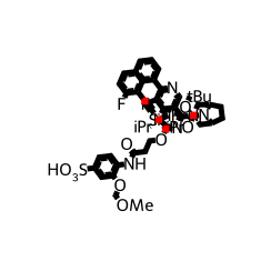 COCOc1cc(S(=O)(=O)O)ccc1NC(=O)CCOc1nc(N2CC3CCC(C2)N3C(=O)OC(C)(C)C)c2cnc(-c3cccc4ccc(F)c(C#C[Si](C(C)C)(C(C)C)C(C)C)c34)c(F)c2n1